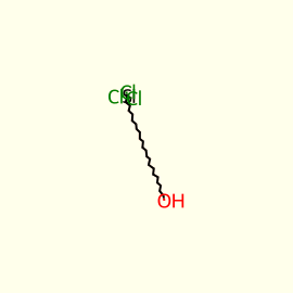 OCCCCCCCCCCCCCCCCCCCCCC[Si](Cl)(Cl)Cl